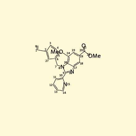 C=Cc1cccc(Cn2c(-c3ccccn3)nc3cc(C(=O)OC)cc(OC)c32)c1